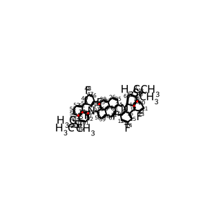 C[Si](C)(C)c1ccc(N(c2c(F)cc(F)cc2-c2ccccc2F)c2ccc3ccc4c(N(c5ccc([Si](C)(C)C)cc5)c5c(F)cc(F)cc5-c5ccccc5F)ccc5ccc2c3c54)cc1